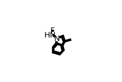 Cc1cn(NF)c2ccccc12